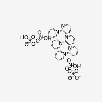 O=S(=O)([O-])O.O=S(=O)([O-])[O-].O=[N+]([O-])O.O=[N+]([O-])O.c1cc[n+](-c2ccccn2)cc1.c1cc[n+](-c2ccccn2)cc1.c1cc[n+](-c2ccccn2)cc1